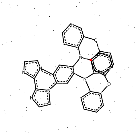 c1ccc2c(c1)Oc1ccccc1N2c1cc2c(cc1N1c3ccccc3Oc3ccccc31)n1ccnc1c1nccn21